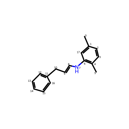 Cc1ccc(C)c(N/C=C/Cc2ccccc2)c1